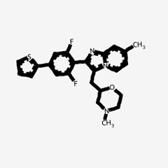 Cc1ccn2c(CC3CN(C)CCO3)c(-c3c(F)cc(-c4cccs4)cc3F)nc2c1